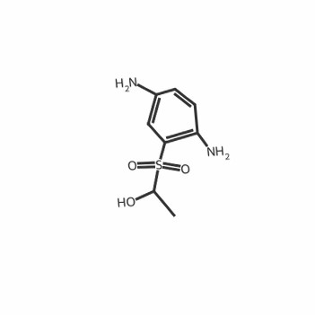 CC(O)S(=O)(=O)c1cc(N)ccc1N